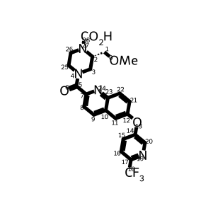 COC[C@@H]1CN(C(=O)c2ccc3cc(Oc4ccc(C(F)(F)F)nc4)ccc3n2)CCN1C(=O)O